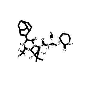 CC1(C)[C@@H]2[C@@H](C(=O)N[C@H](C#N)C[C@@H]3CCCCNC3=O)N(C(=O)C(NC(=O)C(F)(F)F)C3CC4CC5CCC3C(C5)C4)C[C@@H]21